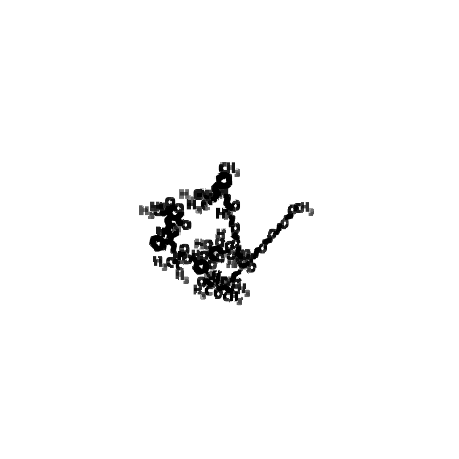 CC[C@@]1(O)C(=O)OCc2c1cc1n(c2=O)Cc2c-1nc1ccccc1c2CCN(C(=O)OCc1ccc(NC(=O)[C@H](C)NC(=O)[C@@H](NC(=O)CC[C@H](NC(=O)CCOCCOCCNC(=O)CCn2c(CN(C)NC)cc3cc(C)ccc32)C(=O)NCCOCCOCCOCCOC)C(C)C)c(O[C@@H]2O[C@H](C(=O)O)[C@@H](O)[C@H](O)[C@H]2O)c1)C(C)C